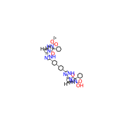 O=C(O)N[C@@H](C(=O)N1[C@@H]2C[C@@H]2C[C@H]1c1nc(-c2ccc(-c3ccc(-c4cnc([C@@H]5C[C@H]6C[C@H]6N5C(=O)[C@H](NC(=O)OC5CC5)c5ccccc5)[nH]4)cc3)cc2)c[nH]1)c1ccccc1